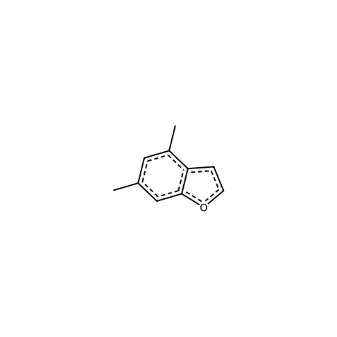 Cc1cc(C)c2ccoc2c1